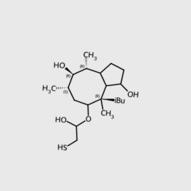 CCC(C)[C@@]1(C)C(OC(O)CS)C[C@H](C)[C@@H](O)[C@H](C)C2CCC(O)C21